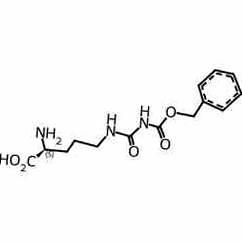 N[C@@H](CCCNC(=O)NC(=O)OCc1ccccc1)C(=O)O